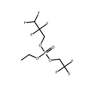 CCOP(=O)(OCC(F)(F)F)OCC(F)(F)C(F)F